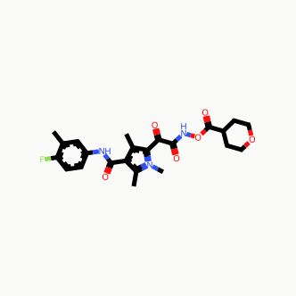 Cc1cc(NC(=O)c2c(C)c(C(=O)C(=O)NOC(=O)C3CCOCC3)n(C)c2C)ccc1F